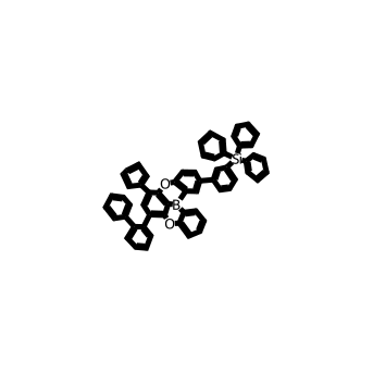 c1ccc(-c2ccccc2-c2cc(-c3ccccc3)c3c4c2Oc2ccccc2B4c2cc(-c4cccc([Si](c5ccccc5)(c5ccccc5)c5ccccc5)c4)ccc2O3)cc1